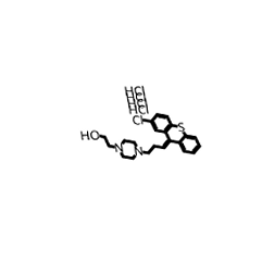 Cl.Cl.Cl.Cl.OCCN1CCN(CC/C=C2/c3ccccc3Sc3ccc(Cl)cc32)CC1